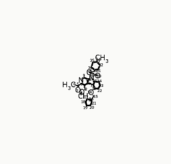 COCc1c(C(C)=O)ncc2c1c1c(OCc3ccccc3)cccc1n2S(=O)(=O)c1ccc(C)cc1